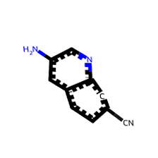 N#Cc1ccc2cc(N)cnc2c1